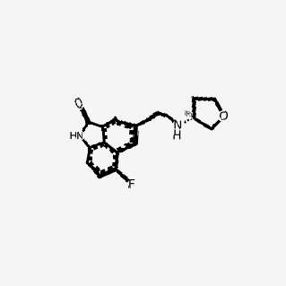 O=C1Nc2ccc(F)c3cc(CN[C@@H]4CCOC4)cc1c23